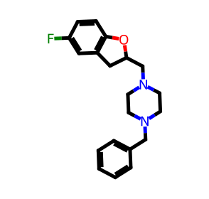 Fc1ccc2c(c1)CC(CN1CCN(Cc3ccccc3)CC1)O2